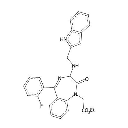 CCOC(=O)CN1C(=O)C(NCc2cc3ccccc3[nH]2)N=C(c2ccccc2F)c2ccccc21